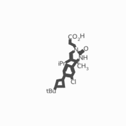 CC(C)C1=CN(CCC(=O)O)C(=O)N[C@@]1(C)c1ccc(C2CC(C(C)(C)C)C2)c(Cl)c1